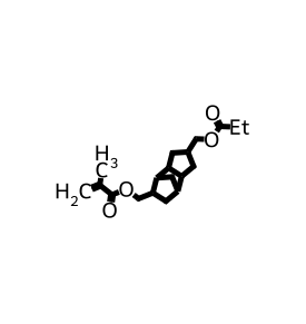 C=C(C)C(=O)OCC1CC2CC1C1CC(COC(=O)CC)CC21